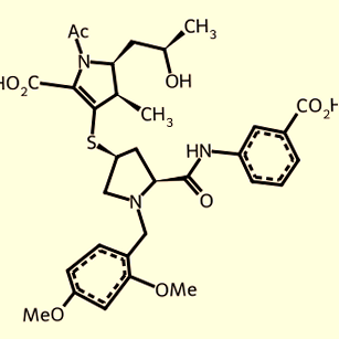 COc1ccc(CN2C[C@@H](SC3=C(C(=O)O)N(C(C)=O)[C@@H](C[C@@H](C)O)[C@H]3C)C[C@H]2C(=O)Nc2cccc(C(=O)O)c2)c(OC)c1